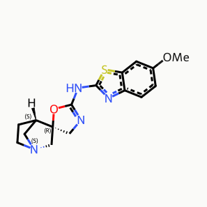 COc1ccc2nc(NC3=NC[C@@]4(C[N@]5CC[C@H]4C5)O3)sc2c1